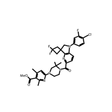 COC(=O)c1c(C)cc(N2CCN(C(=O)c3ccc4c(n3)C3(CN4c4ccc(Cl)c(F)c4)CC(F)(F)C3)C(C)(C)C2)nc1C